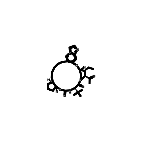 CC[C@@H]1[C@@H]2CN(C(=O)[C@H](C(C)(C)C)NC(=O)O[C@@H]3CCC[C@H]3CCCCCc3cn4ccnc4cc3O2)[C@@H]1C(C)=O